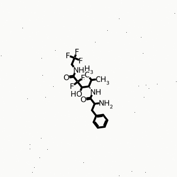 CC(C)[C@H](NC(=O)C(N)Cc1ccccc1)C(O)C(F)(F)C(=O)NCC(F)(F)F